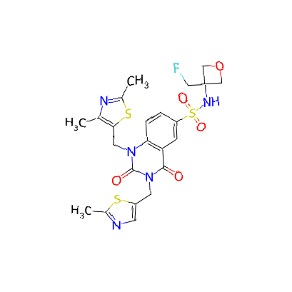 Cc1ncc(Cn2c(=O)c3cc(S(=O)(=O)NC4(CF)COC4)ccc3n(Cc3sc(C)nc3C)c2=O)s1